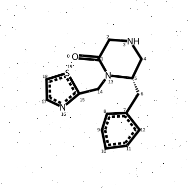 O=C1CNC[C@H](Cc2ccccc2)N1Cc1nccs1